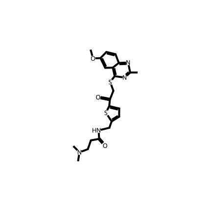 COc1ccc2nc(C)nc(SCC(=O)c3ccc(CNC(=O)CCN(C)C)s3)c2c1